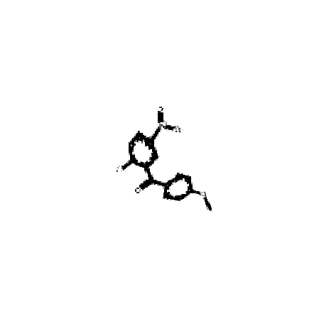 COc1ccc(C(=O)c2cc([N+](=O)[O-])ccc2Cl)cc1